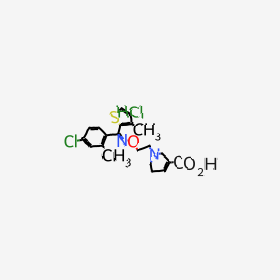 Cc1cc(Cl)ccc1C(=NOCCN1CCC=C(C(=O)O)C1)c1sccc1C.Cl